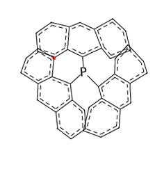 c1ccc2c(P(c3c4ccccc4cc4ccccc34)c3c4ccccc4cc4ccccc34)c3ccccc3cc2c1